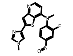 CN(c1ccc(N=O)cc1F)c1ccnc2cc(-c3cn(C)cn3)sc12